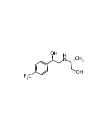 C[C@H](CO)NCC(O)c1ccc(C(F)(F)F)cc1